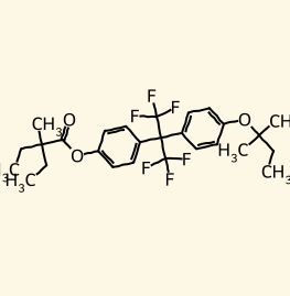 CCC(C)(C)Oc1ccc(C(c2ccc(OC(=O)C(C)(CC)CC)cc2)(C(F)(F)F)C(F)(F)F)cc1